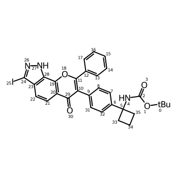 CC(C)(C)OC(=O)NC1(c2ccc(-c3c(-c4ccccc4)oc4c(ccc5c(I)n[nH]c54)c3=O)cc2)CCC1